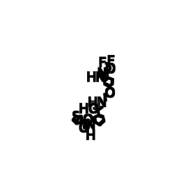 O=S(=O)(Nc1cccc([C@@H](O)CNCCOc2ccc3c(OC(F)F)n[nH]c3c2)c1)c1ccsc1